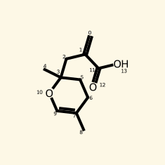 C=C(CC1(C)CCC(C)=CO1)C(=O)O